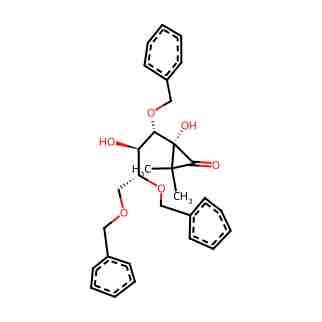 CC1(C)C(=O)[C@]1(O)[C@@H](OCc1ccccc1)[C@H](O)[C@@H](COCc1ccccc1)OCc1ccccc1